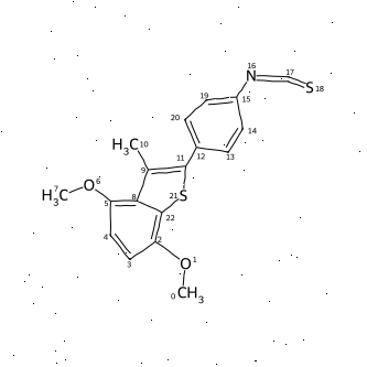 COc1ccc(OC)c2c(C)c(-c3ccc(N=C=S)cc3)sc12